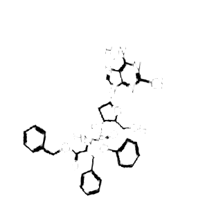 Nc1nc(Cl)nc2c1ncn2[C@H]1C[C@@H](OP(=O)(N[C@@H](Cc2ccccc2)C(=O)OCc2ccccc2)Oc2ccccc2)C(CO)O1